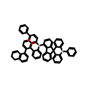 C1=Cc2c(cccc2-c2ccccc2-c2ccccc2N(c2ccc(-c3ccccc3)cc2)c2cccc3c2-c2ccccc2C32c3ccccc3N(c3ccccc3)c3ccccc32)CC1